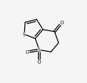 O=C1CCS(=O)(=O)c2sccc21